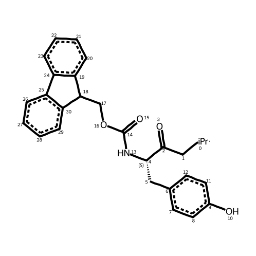 C[C](C)CC(=O)[C@H](Cc1ccc(O)cc1)NC(=O)OCC1c2ccccc2-c2ccccc21